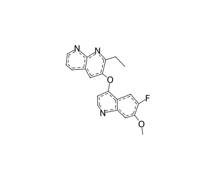 CCc1nc2ncccc2cc1Oc1ccnc2cc(OC)c(F)cc12